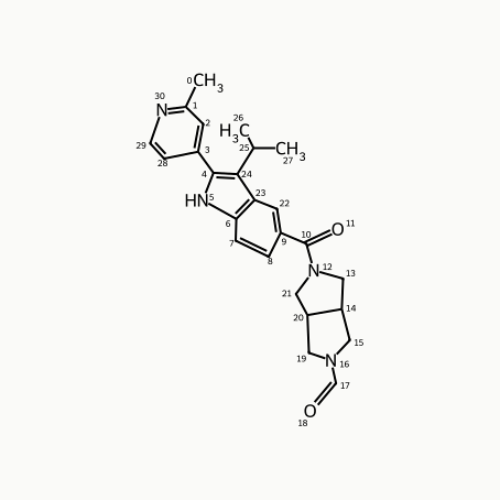 Cc1cc(-c2[nH]c3ccc(C(=O)N4CC5CN(C=O)CC5C4)cc3c2C(C)C)ccn1